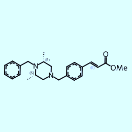 COC(=O)/C=C/c1ccc(CN2C[C@@H](C)N(Cc3ccccc3)[C@@H](C)C2)cc1